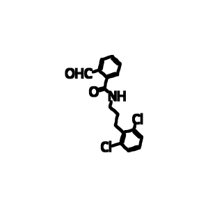 O=Cc1ccccc1C(=O)NCCCc1c(Cl)cccc1Cl